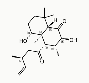 C=C[C@@H](C)CC(=O)[C@H]1[C@@H](C)[C@H](O)C(=O)[C@H]2C(C)(C)CC[C@@H](O)[C@]12C